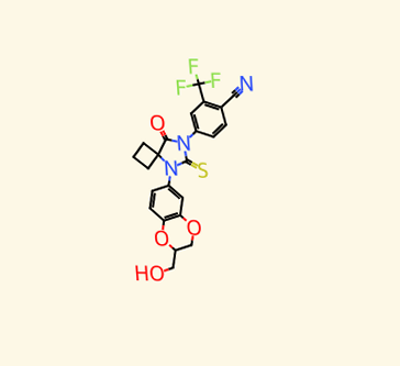 N#Cc1ccc(N2C(=O)C3(CCC3)N(c3ccc4c(c3)OCC(CO)O4)C2=S)cc1C(F)(F)F